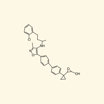 Cc1noc(-c2ccc(-c3ccc(C4(C5OC5O)CC4)cc3)cc2)c1NC(C)CCc1ccccc1Cl